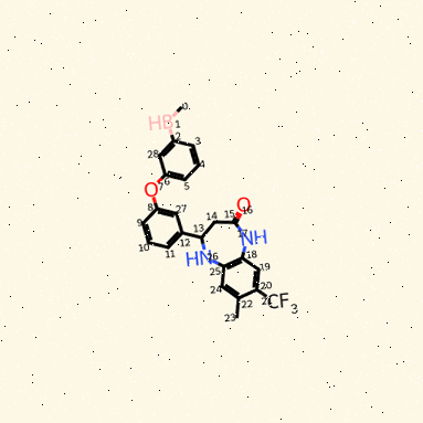 CBc1cccc(Oc2cccc(C3CC(=O)Nc4cc(C(F)(F)F)c(C)cc4N3)c2)c1